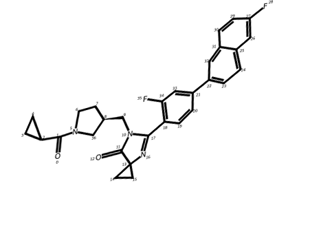 O=C(C1CC1)N1CC[C@@H](CN2C(=O)C3(CC3)N=C2c2ccc(-c3ccc4cc(F)ccc4c3)cc2F)C1